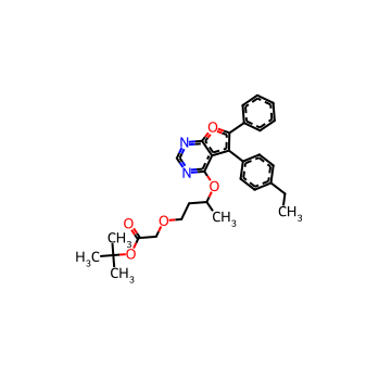 CCc1ccc(-c2c(-c3ccccc3)oc3ncnc(OC(C)CCOCC(=O)OC(C)(C)C)c23)cc1